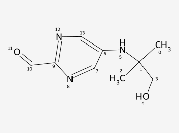 CC(C)(CO)Nc1cnc(C=O)nc1